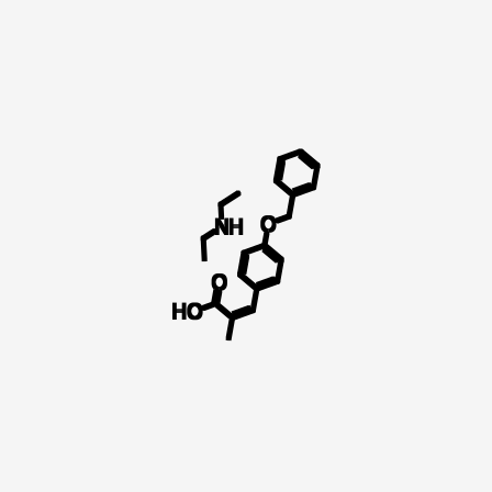 CC(=Cc1ccc(OCc2ccccc2)cc1)C(=O)O.CCNCC